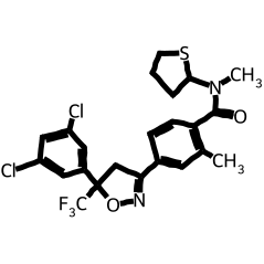 Cc1cc(C2=NOC(c3cc(Cl)cc(Cl)c3)(C(F)(F)F)C2)ccc1C(=O)N(C)C1CCCS1